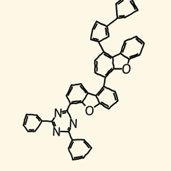 c1ccc(-c2cccc(-c3ccc(-c4cccc5oc6c(-c7nc(-c8ccccc8)nc(-c8ccccc8)n7)cccc6c45)c4oc5ccccc5c34)c2)cc1